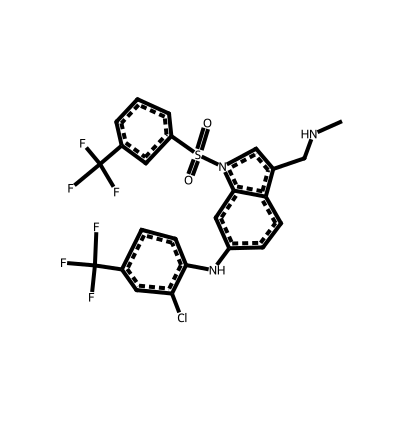 CNCc1cn(S(=O)(=O)c2cccc(C(F)(F)F)c2)c2cc(Nc3ccc(C(F)(F)F)cc3Cl)ccc12